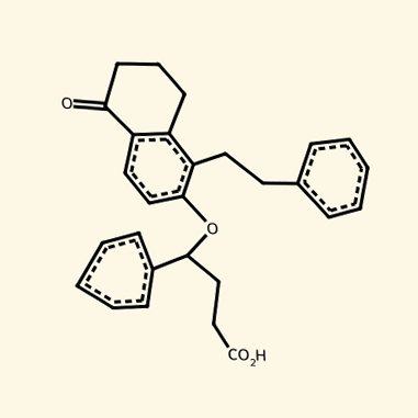 O=C(O)CCC(Oc1ccc2c(c1CCc1ccccc1)CCCC2=O)c1ccccc1